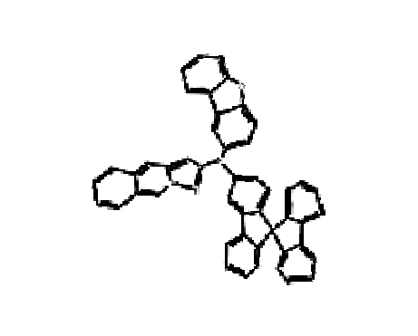 c1ccc2c(c1)-c1ccccc1C21c2ccccc2-c2cc(N(c3ccc4oc5ccccc5c4c3)c3cc4cc5ccccc5cn4n3)ccc21